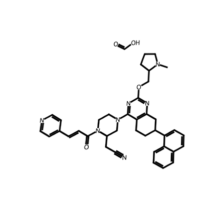 CN1CCCC1COc1nc2c(c(N3CCN(C(=O)/C=C/c4ccncc4)C(CC#N)C3)n1)CCC(c1cccc3ccccc13)C2.O=CO